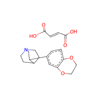 O=C(O)C=CC(=O)O.c1cc2c(cc1C1CN3CCC1CC3)OCCO2